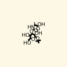 C[C@H](NC(=O)OC1C(O)[C@@H](OC(C)(C)C)OC(CO)[C@H]1O)C(=O)O